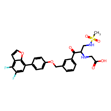 CS(=O)(=O)NCC(NCC(=O)O)C(=O)c1cccc(COc2ccc(-c3cc(F)c(F)c4ccoc34)cc2)c1